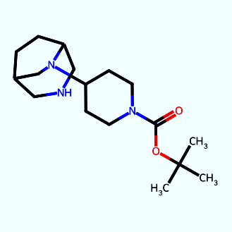 CC(C)(C)OC(=O)N1CCC(N2CC3CCC2CNC3)CC1